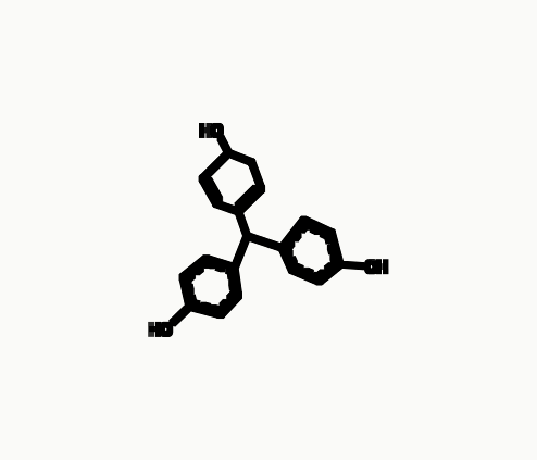 Oc1ccc(C(C2=CCC(O)C=C2)c2ccc(O)cc2)cc1